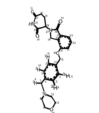 [2H]c1c([2H])c(C([2H])N2CCOCC2)c([2H])c([2H])c1COc1cccc2c1CN(C1CCC(=O)NC1=O)C2=O